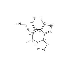 C[C@@H](C1CCCC1c1c[nH]c2ccc(C#N)cc12)N(C)C